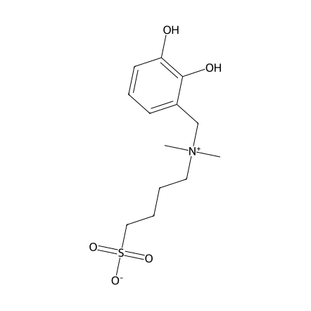 C[N+](C)(CCCCS(=O)(=O)[O-])Cc1cccc(O)c1O